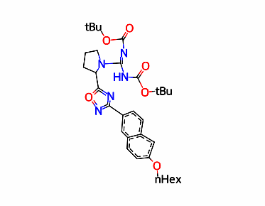 CCCCCCOc1ccc2cc(-c3noc(C4CCCN4C(=NC(=O)OC(C)(C)C)NC(=O)OC(C)(C)C)n3)ccc2c1